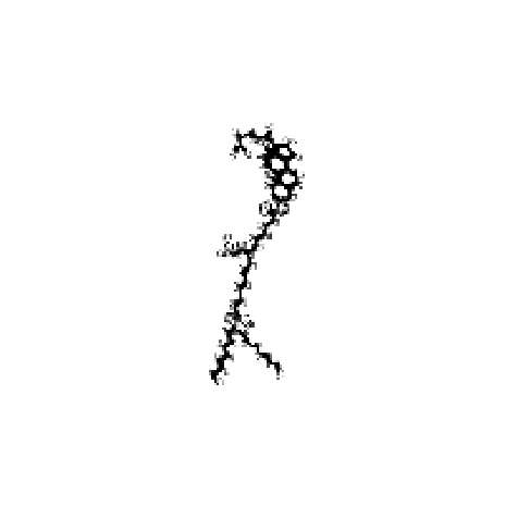 CCCCCCCCC(CCCCCCCC)OC(=O)CCCCCCC(CCCCCC(=O)OC1CCC2(C)C(=CCC3C2CCC2(C)C(C(C)/C=C/C(C)C(C)C)CCC32)C1)CCN(C)C